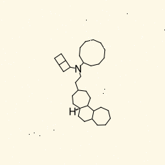 C1CCCCC(N(CCC2CCC3C4CCCCCC4CC[C@@H]3CC2)C2CC3CCC32)CCCC1